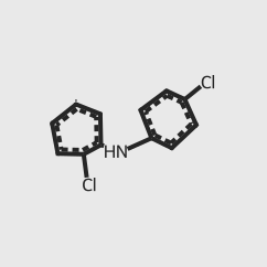 Clc1ccc(Nc2c[c]ccc2Cl)cc1